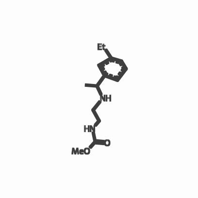 CCc1cccc(C(C)NCCNC(=O)OC)c1